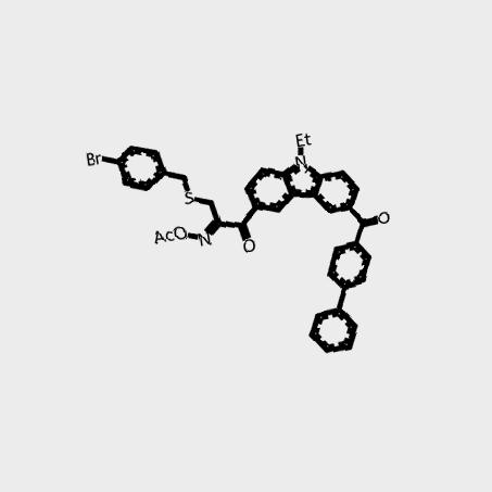 CCn1c2ccc(C(=O)/C(CSCc3ccc(Br)cc3)=N/OC(C)=O)cc2c2cc(C(=O)c3ccc(-c4ccccc4)cc3)ccc21